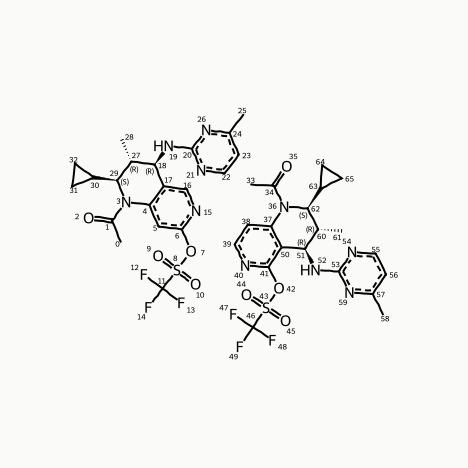 CC(=O)N1c2cc(OS(=O)(=O)C(F)(F)F)ncc2[C@H](Nc2nccc(C)n2)[C@@H](C)[C@@H]1C1CC1.CC(=O)N1c2ccnc(OS(=O)(=O)C(F)(F)F)c2[C@H](Nc2nccc(C)n2)[C@@H](C)[C@@H]1C1CC1